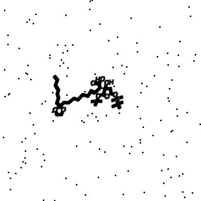 CCCCCCCC1(CCCCCC/C=C/[C@H](C(=O)O)C(O)(CCO[Si](C)(C)C(C)(C)C)C(=O)OC(C)(C)C)OCCO1